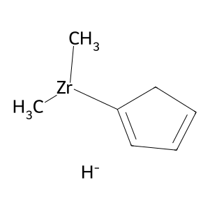 [CH3][Zr]([CH3])[C]1=CC=CC1.[H-]